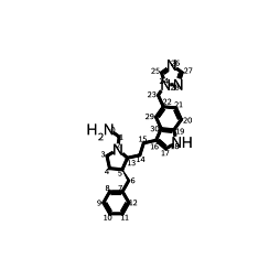 NCN1CC[C@H](Cc2ccccc2)C1CCc1c[nH]c2ccc(Cn3cncn3)cc12